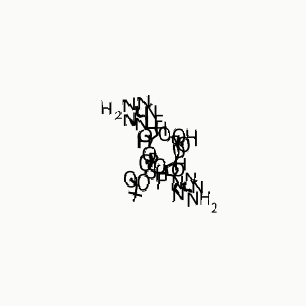 CC(C)(C)C(=O)OCSP1(=O)OC[C@H]2O[C@@H](n3cnc4c(N)ncnc43)[C@H](F)[C@@H]2OCP(=O)(O)OC[C@H]2O[C@@H](n3cnc4c(N)ncnc43)[C@H](F)[C@@H]2O1